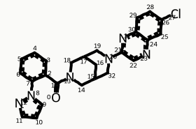 O=C(c1ccccc1-n1cccn1)N1CC2CC(C1)CN(c1cnc3cc(Cl)ccc3n1)C2